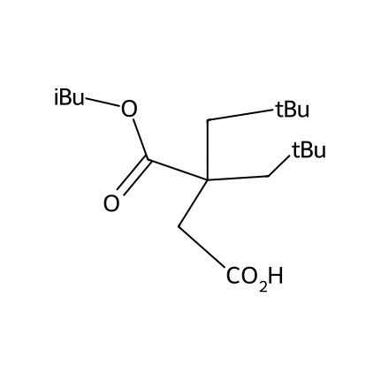 CCC(C)OC(=O)C(CC(=O)O)(CC(C)(C)C)CC(C)(C)C